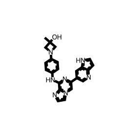 CC1(O)CN(c2ccc(Nc3nc(-c4cnc5cc[nH]c5c4)cn4ccnc34)cc2)C1